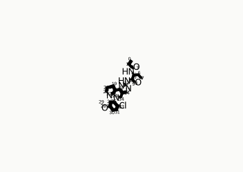 C=CC(=O)N[C@H]1CCOC[C@H]1Nc1ncc2c(n1)-c1cccnc1N(c1cc(OC)ccc1Cl)C2